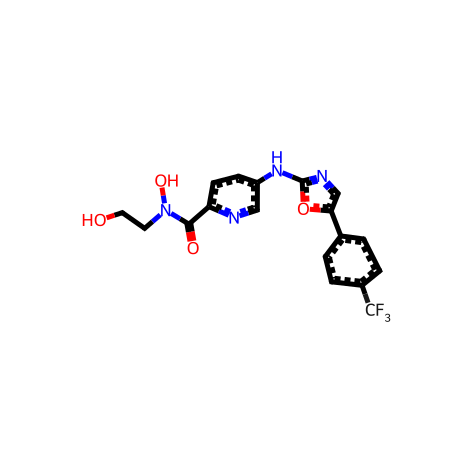 O=C(c1ccc(Nc2ncc(-c3ccc(C(F)(F)F)cc3)o2)cn1)N(O)CCO